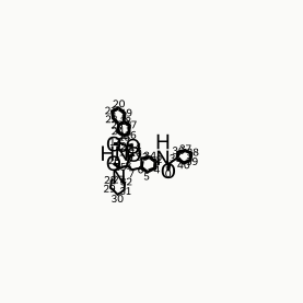 O=C(Nc1ccc(CC(C(=O)NS(=O)(=O)c2ccc3ccccc3c2)C(=O)N2CCCCC2)cc1)c1ccccc1